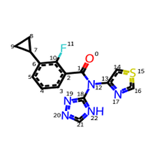 O=C(c1cccc(C2CC2)c1F)N(c1cscn1)c1nnc[nH]1